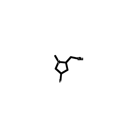 CN1CC(F)CC1CC(C)(C)C